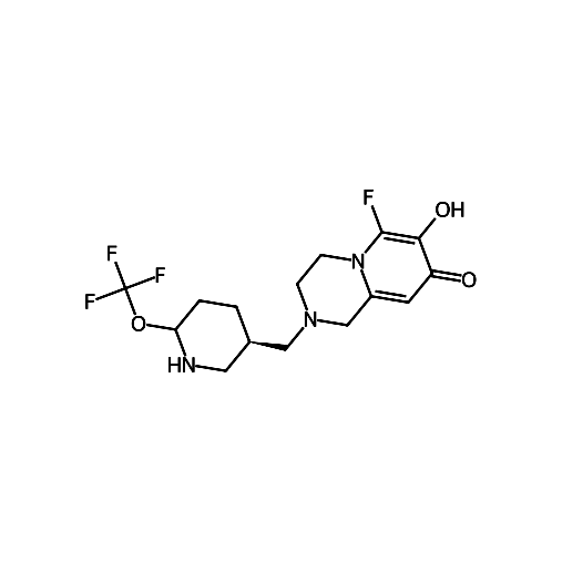 O=c1cc2n(c(F)c1O)CCN(C[C@@H]1CCC(OC(F)(F)F)NC1)C2